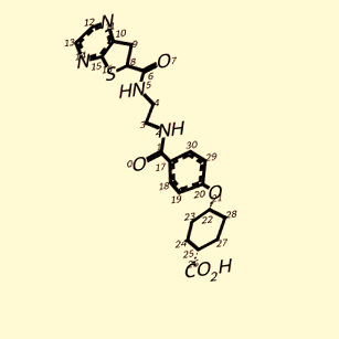 O=C(NCCNC(=O)C1Cc2nccnc2S1)c1ccc(O[C@H]2CC[C@@H](C(=O)O)CC2)cc1